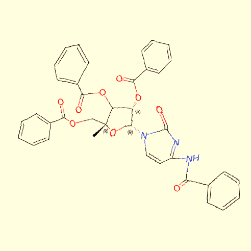 C[C@]1(COC(=O)c2ccccc2)O[C@@H](n2ccc(NC(=O)c3ccccc3)nc2=O)[C@@H](OC(=O)c2ccccc2)C1OC(=O)c1ccccc1